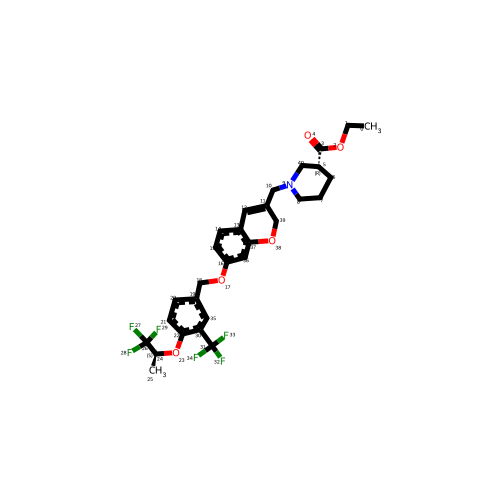 CCOC(=O)[C@@H]1CCCN(CC2=Cc3ccc(OCc4ccc(O[C@@H](C)C(F)(F)F)c(C(F)(F)F)c4)cc3OC2)C1